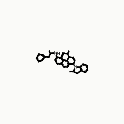 CC(Cc1ccccc1)Nc1ccc2ccc3c4c2c1=CC(C)C4C=CC=3N1c2ccccc2CC1C